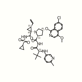 C=C[C@@H]1C[C@@]1(C(=O)NS(=O)(=O)C1CC1)N1C[C@H](Oc2ncc(OC)c3ccc(Cl)cc23)C[C@H]1C(=O)NC(=O)[C@@H](Nc1ccc(C)nc1)C(C)(C)C